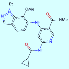 CCn1ncc2ccc(Nc3cc(NC(=O)C4CC4)ncc3C(=O)NC)c(OC)c21